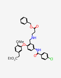 CCOC(=O)Cc1ccc(OC)c(Oc2ccc(NC(=O)c3ccc(Cl)cc3)cc2CNCCC(=O)OCc2ccccc2)c1